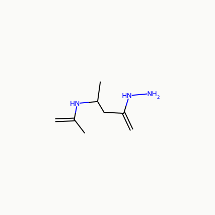 C=C(C)NC(C)CC(=C)NN